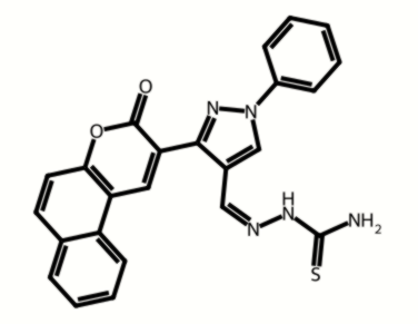 NC(=S)N/N=C\c1cn(-c2ccccc2)nc1-c1cc2c(ccc3ccccc32)oc1=O